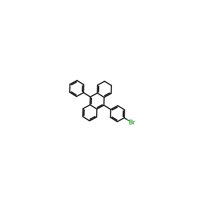 Brc1ccc(-c2c3c(c(-c4ccccc4)c4ccccc24)=CCCC=3)cc1